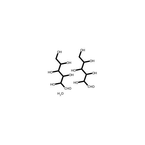 O.O=CC(O)C(O)C(O)C(O)CO.O=CC(O)C(O)C(O)C(O)CO